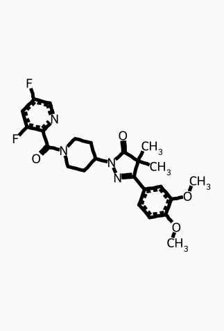 COc1ccc(C2=NN(C3CCN(C(=O)c4ncc(F)cc4F)CC3)C(=O)C2(C)C)cc1OC